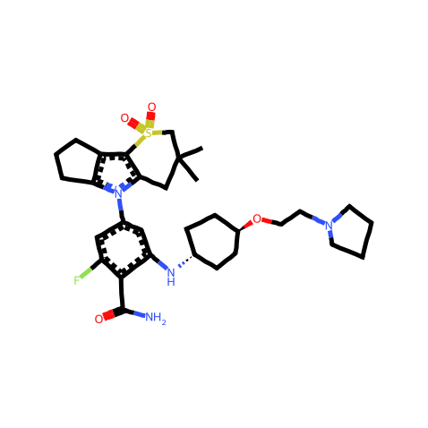 CC1(C)Cc2c(c3c(n2-c2cc(F)c(C(N)=O)c(N[C@H]4CC[C@H](OCCN5CCCC5)CC4)c2)CCC3)S(=O)(=O)C1